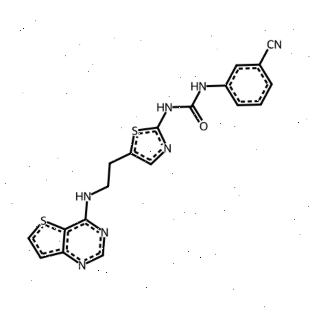 N#Cc1cccc(NC(=O)Nc2ncc(CCNc3ncnc4ccsc34)s2)c1